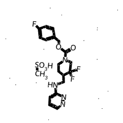 CS(=O)(=O)O.O=C(OCc1ccc(F)cc1)N1CCC(CNc2cccnn2)C(F)(F)C1